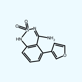 NC1=NS(=O)(=O)Nc2cccc(-c3ccoc3)c21